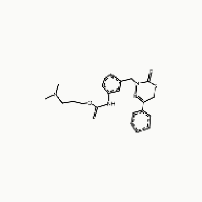 C=C(Nc1cccc(CN2N=C(c3ccccc3)CSC2=O)c1)OCCCN(C)C